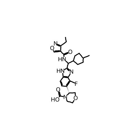 CCc1nocc1C(=O)NC(c1nc2c(F)c([C@@H]3COCCN3C(=O)O)ccc2[nH]1)C1CCC(C)CC1